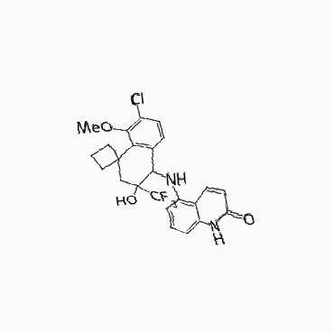 COc1c(Cl)ccc2c1C1(CCC1)CC(O)(C(F)(F)F)C2Nc1cccc2[nH]c(=O)ccc12